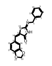 O=C1NC(=NCc2ccccc2)SC1=Cc1ccc2c(c1)OCO2